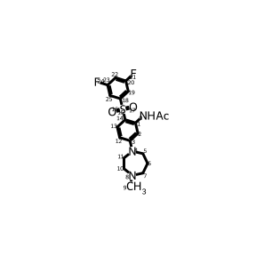 CC(=O)Nc1cc(N2CCCN(C)CC2)ccc1S(=O)(=O)c1cc(F)cc(F)c1